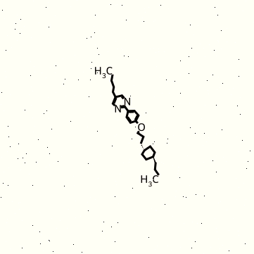 CCCCCc1cnc(-c2ccc(OCCC[C@H]3CC[C@H](CCCC)CC3)cc2)nc1